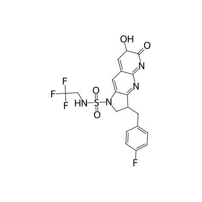 O=C1N=c2nc3c(cc2=CC1O)N(S(=O)(=O)NCC(F)(F)F)CC3Cc1ccc(F)cc1